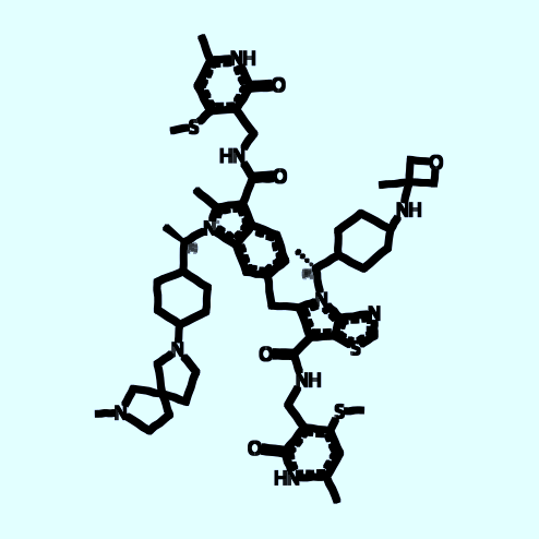 CSc1cc(C)[nH]c(=O)c1CNC(=O)c1c(C)n([C@H](C)C2CCC(N3CCC4(CCN(C)C4)C3)CC2)c2cc(Cc3c(C(=O)NCc4c(SC)cc(C)[nH]c4=O)c4scnc4n3[C@H](C)C3CCC(NC4(C)COC4)CC3)ccc12